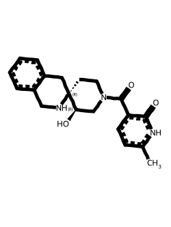 Cc1ccc(C(=O)N2CC[C@]3(Cc4ccccc4CN3)[C@H](O)C2)c(=O)[nH]1